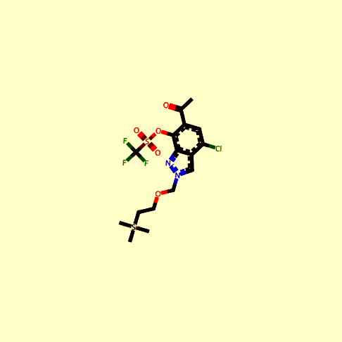 CC(=O)c1cc(Cl)c2cn(COCC[Si](C)(C)C)nc2c1OS(=O)(=O)C(F)(F)F